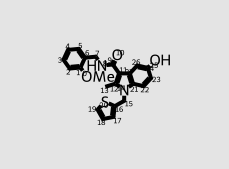 COc1ccccc1CNC(=O)c1c(C)n(Cc2cccs2)c2ccc(O)cc12